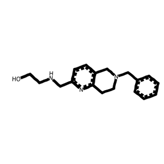 OCCNCc1ccc2c(n1)CCN(Cc1ccccc1)C2